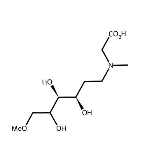 COCC(O)[C@@H](O)[C@H](O)CCN(C)CC(=O)O